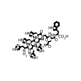 NC(=O)CC[C@H](NC(=O)CNC(=O)[C@H](Cc1c[nH]cn1)NC(=O)[C@H](Cc1c[nH]cn1)NC(=O)[C@H](Cc1c[nH]cn1)NC(=O)[C@H](Cc1c[nH]cn1)NC(=O)[C@@H](N)Cc1c[nH]cn1)C(=O)N[C@@H](Cc1c[nH]c2ccccc12)C(=O)O